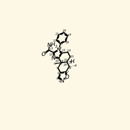 C[C@@H]1c2oncc2C[C@]2(C)c3nc(C(N)=O)n(-c4ccccc4)c3CC[C@@H]12